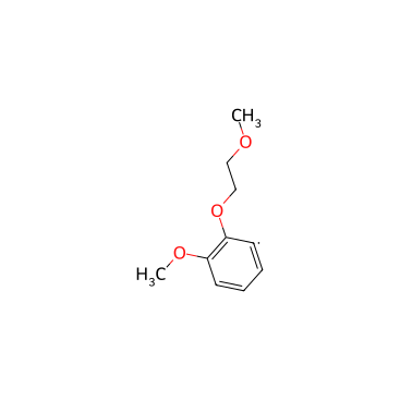 COCCOc1[c]cccc1OC